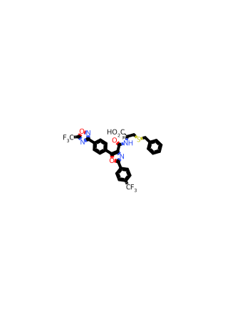 O=C(N[C@@H](CSCc1ccccc1)C(=O)O)c1nc(-c2ccc(C(F)(F)F)cc2)oc1-c1ccc(-c2noc(C(F)(F)F)n2)cc1